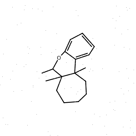 CC1Oc2ccccc2C2(C)CCCCCC12C